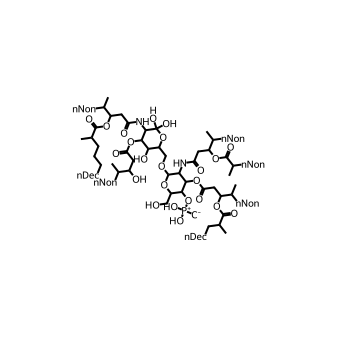 [CH2-][P+](O)(O)OC1C(CO)OC(OCC2OC(O)(O)C(NC(=O)CC(OC(=O)C(C)CCCCCCCCCCCCC)C(C)CCCCCCCCC)C(OC(=O)CC(O)C(C)CCCCCCCCC)C2O)C(NC(=O)CC(OC(=O)C(C)CCCCCCCCC)C(C)CCCCCCCCC)C1OC(=O)CC(OC(=O)C(C)CCCCCCCCCCC)C(C)CCCCCCCCC